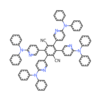 N#Cc1c(-c2ccc(N(c3ccccc3)c3ccccc3)nc2)c(-c2ccc(N(c3ccccc3)c3ccccc3)nc2)c(C#N)c(-c2ccc(N(c3ccccc3)c3ccccc3)nc2)c1-c1ccc(N(c2ccccc2)c2ccccc2)nc1